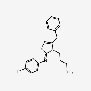 NCCCn1c(Cc2ccccc2)cs/c1=N\c1ccc(F)cc1